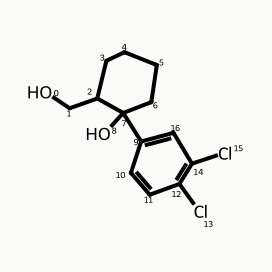 OCC1CCCCC1(O)c1ccc(Cl)c(Cl)c1